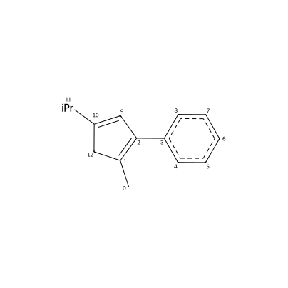 CC1=C(c2ccccc2)C=C(C(C)C)C1